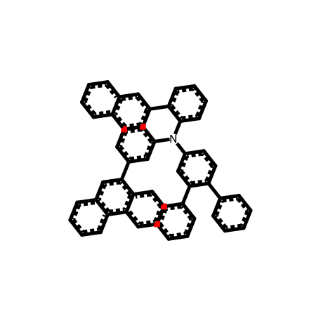 c1ccc(-c2ccc(N(c3cccc(-c4cc5ccccc5c5ccccc45)c3)c3ccccc3-c3ccc4ccccc4c3)cc2-c2ccccc2)cc1